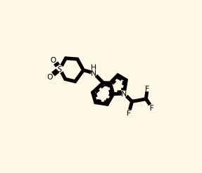 O=S1(=O)CCC(Nc2cccc3c2ccn3C(F)C(F)F)CC1